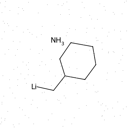 N.[Li][CH2]C1CCCCC1